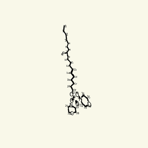 CCCCCCCC(F)CCCCCCCCCCCOP(=O)(ON1CCOCC1)ON1CCOCC1